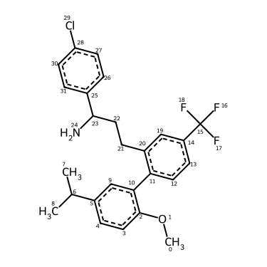 COc1ccc(C(C)C)cc1-c1ccc(C(F)(F)F)cc1CCC(N)c1ccc(Cl)cc1